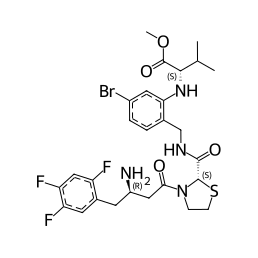 COC(=O)[C@@H](Nc1cc(Br)ccc1CNC(=O)[C@@H]1SCCN1C(=O)C[C@H](N)Cc1cc(F)c(F)cc1F)C(C)C